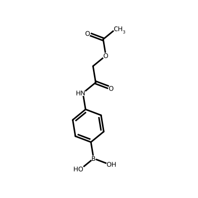 CC(=O)OCC(=O)Nc1ccc(B(O)O)cc1